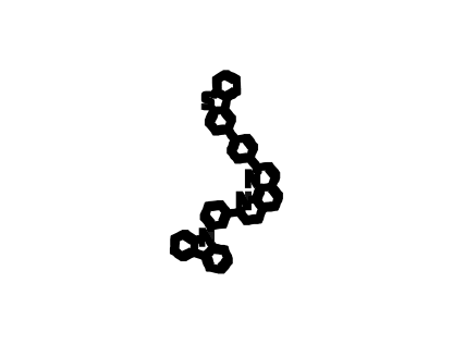 c1cc(-c2ccc3ccc4ccc(-c5ccc(-c6ccc7sc8ccccc8c7c6)cc5)nc4c3n2)cc(-n2c3ccccc3c3ccccc32)c1